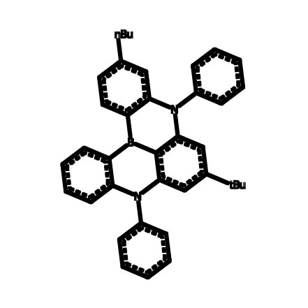 CCCCc1ccc2c(c1)N(c1ccccc1)c1cc(C(C)(C)C)cc3c1B2c1ccccc1N3c1ccccc1